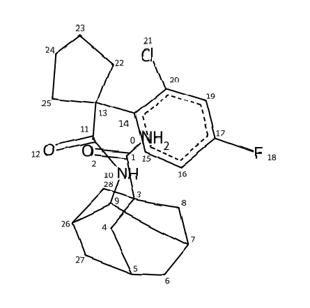 NC(=O)C12CC3CC(C1)C(NC(=O)C1(c4ccc(F)cc4Cl)CCCC1)C(C3)C2